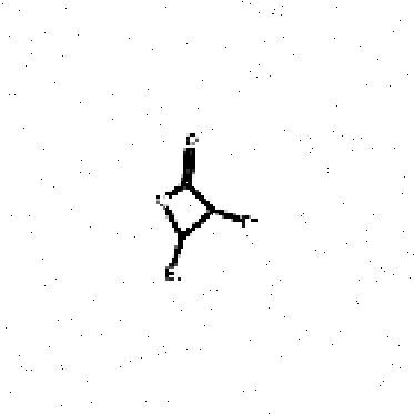 CCC1OC(=O)C1CC